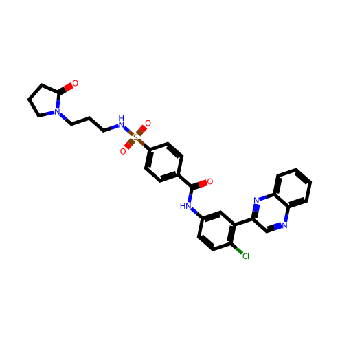 O=C(Nc1ccc(Cl)c(-c2cnc3ccccc3n2)c1)c1ccc(S(=O)(=O)NCCCN2CCCC2=O)cc1